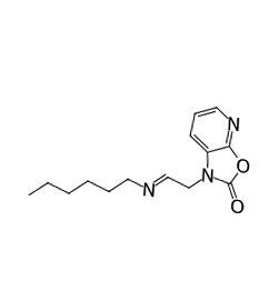 CCCCCCN=CCn1c(=O)oc2ncccc21